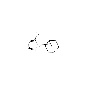 Nc1ncnn1C1CN2CCC1CC2